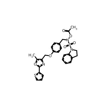 CC(=O)ON(Cc1ccc(OCc2nc(-c3cccs3)oc2C)cc1)S(=O)(=O)N1CCc2ccccc21